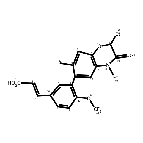 CCC1Oc2cc(C)c(-c3cc(C=CC(=O)O)ccc3OC(F)(F)F)cc2N(CC)C1=O